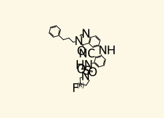 N#Cc1c(Nc2ccc3ncn(CCCc4ccccc4)c(=O)c3c2)cccc1NS(=O)(=O)N1CC[C@@H](F)C1